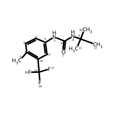 Cc1ccc(NC(=O)NC(C)(C)C)cc1C(F)(F)F